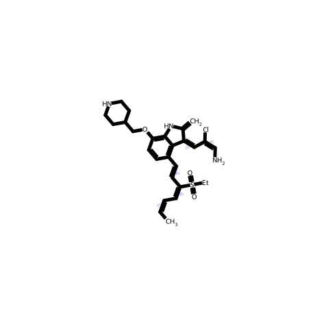 C=c1[nH]c2c(OCC3CCNCC3)ccc(/C=C/C(=C\C=C/C)S(=O)(=O)CC)c2/c1=C/C(Cl)=C\N